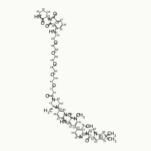 C[C@@H]1CN(C(=O)CCOCCOCCOCCOCCOCCNc2cccc3c2C(=O)N(C2CCCNC2=O)C3=O)CCN1c1ccc(Nc2cc(-c3ccnc(N4CCn5c(cc6c5CC(C)(C)C6)C4=O)c3CO)cn(C)c2=O)nc1